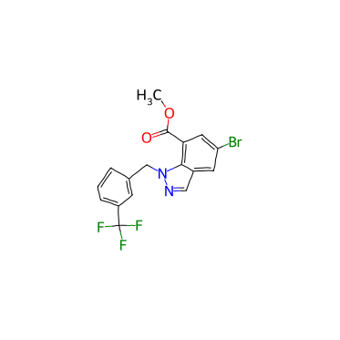 COC(=O)c1cc(Br)cc2cnn(Cc3cccc(C(F)(F)F)c3)c12